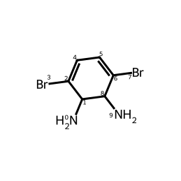 NC1C(Br)=CC=C(Br)C1N